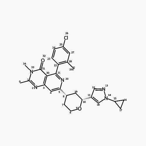 Cc1nc2cc([C@H]3CCO[C@@H](c4cnn(C5CC5)c4)C3)nc(-c3ccc(Cl)cc3F)c2c(=O)n1C